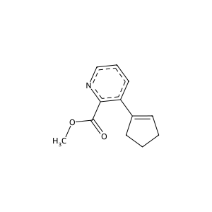 COC(=O)c1ncccc1C1=CCCC1